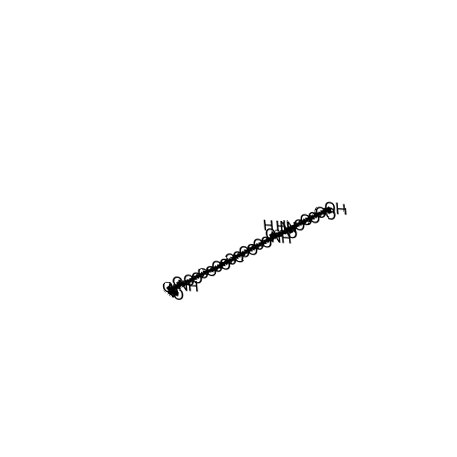 N[C@@H](CCCCNC(=O)CCOCCOCCOCCOCCOCCOCCOCCOCCOCCOCCOCCOCCNC(=O)CCN1C(=O)C=CC1=O)C(=O)NCCOCCOCCOCCOCCC(=O)O